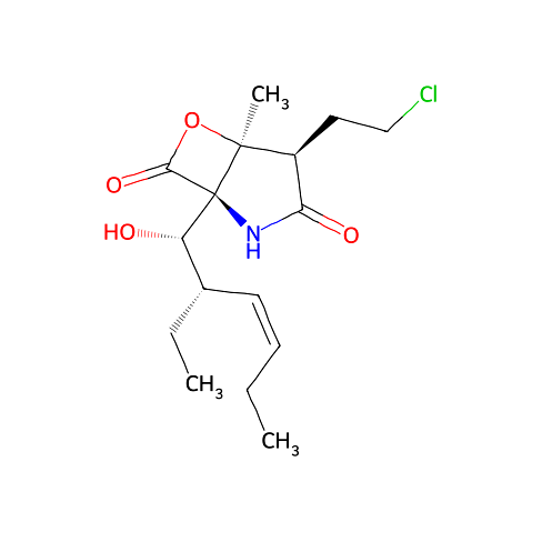 CC/C=C\[C@H](CC)[C@H](O)[C@@]12NC(=O)[C@H](CCCl)[C@]1(C)OC2=O